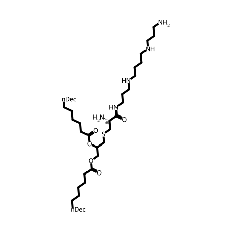 CCCCCCCCCCCCCCCC(=O)OCC(CSC[C@H](N)C(=O)NCCCNCCCCNCCCN)OC(=O)CCCCCCCCCCCCCCC